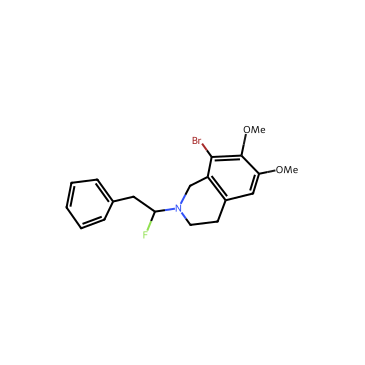 COc1cc2c(c(Br)c1OC)CN(C(F)Cc1ccccc1)CC2